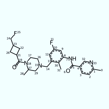 Cc1ccc(C(=O)Nc2cc(F)cc(CN3CCN(C(=O)C4CC(CF)C4)C(C)C3)c2C)cn1